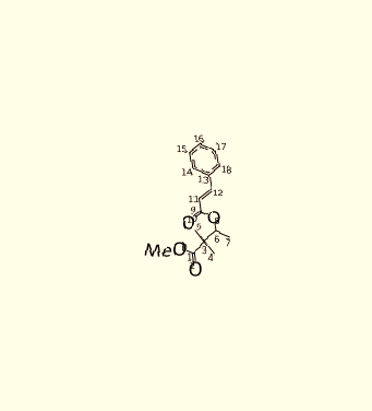 COC(=O)C(C)(C)C(C)OC(=O)C=Cc1ccccc1